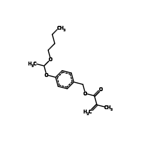 C=C(C)C(=O)OCc1ccc(OC(C)OCCCC)cc1